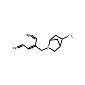 C=C/C=C(\C=C)CN1CC2CC1CN2C